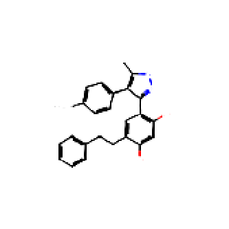 COc1ccc(-c2c(-c3cc(CCc4ccccc4)c(O)cc3O)n[nH]c2C)cc1